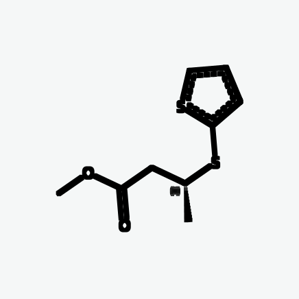 COC(=O)C[C@@H](C)Sc1cccs1